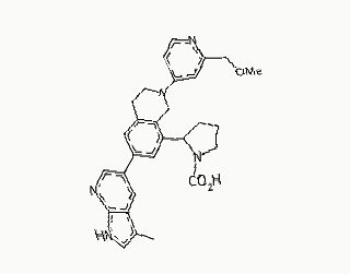 COCc1cc(N2CCc3cc(-c4cnc5[nH]cc(C)c5c4)cc(C4CCCN4C(=O)O)c3C2)ccn1